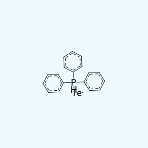 [Te][PH](c1ccccc1)(c1ccccc1)c1ccccc1